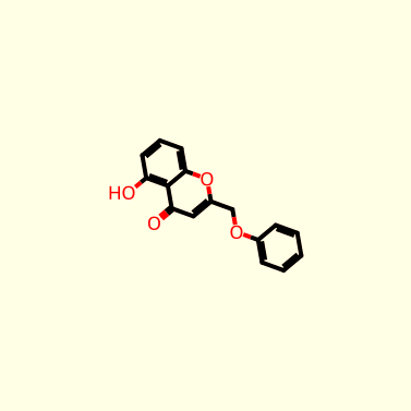 O=c1cc(COc2ccccc2)oc2cccc(O)c12